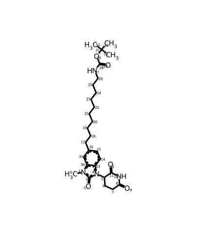 Cn1c(=O)n(C2CCC(=O)NC2=O)c2ccc(CCCCCCCCCCNC(=O)OC(C)(C)C)cc21